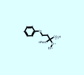 CCCCCC(CCOc1ccccc1)(OCC)C(=O)O